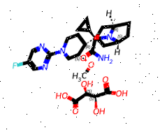 CO[C@@H]1CN(c2ncc(F)cn2)CC[C@@H]1C1C[C@H]2CC[C@@H](C1)N2[C@@H](C(N)=O)C1CC1.O=C(O)[C@@H](O)[C@H](O)C(=O)O